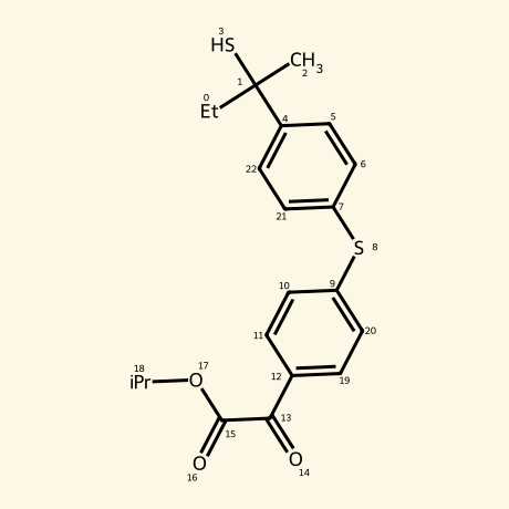 CCC(C)(S)c1ccc(Sc2ccc(C(=O)C(=O)OC(C)C)cc2)cc1